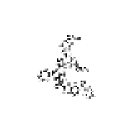 COc1ccc(CN(Cc2ccc(OC)cc2)c2ncc(-c3nc(N4CCOCC4)nc4c3CCN4C(=O)N(C)Cc3cccc(C(=O)N4CCN(C)CC4)c3)cn2)cc1